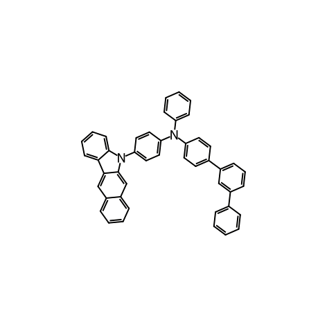 c1ccc(-c2cccc(-c3ccc(N(c4ccccc4)c4ccc(-n5c6ccccc6c6cc7ccccc7cc65)cc4)cc3)c2)cc1